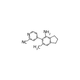 Cc1cc2c(c(N)c1-c1ccnc(C#N)c1)CCC2